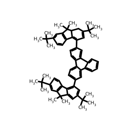 CC(C)(C)C1=CC(c2ccc3c4ccc(-c5cc(C(C)(C)C)cc6c5-c5ccc(C(C)(C)C)cc5C6(C)C)cc4c4ccccc4c3c2)=C2c3ccc(C(C)(C)C)cc3C(C)(C)C2C1